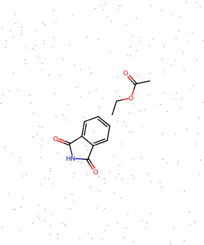 CCOC(C)=O.O=C1NC(=O)c2ccccc21